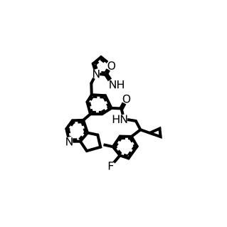 Cc1cc(C(CNC(=O)c2cc(Cn3ccoc3=N)cc(-c3ccnc4c3CCC4)c2)C2CC2)ccc1F